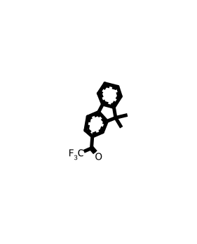 CC1(C)c2ccccc2-c2ccc(C(=O)C(F)(F)F)cc21